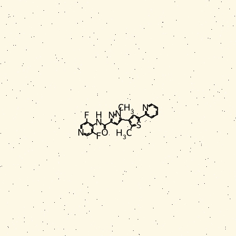 Cc1sc(-c2ccccn2)cc1-c1cc(C(=O)Nc2c(F)cncc2F)nn1C